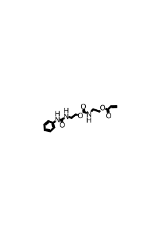 C=CC(=O)OCCNC(=O)OCCNC(=O)Nc1ccccc1